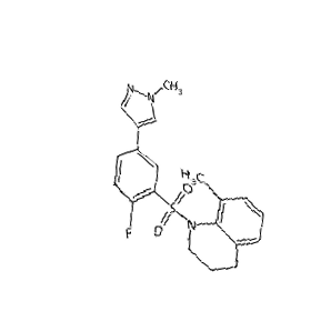 Cc1cccc2c1N(S(=O)(=O)c1cc(-c3cnn(C)c3)ccc1F)CCC2